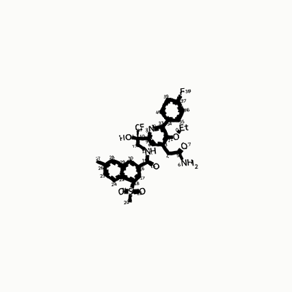 CCOc1c(CC(N)=O)cc([C@@](O)(CNC(=O)c2cc(S(C)(=O)=O)c3ccc(C)cc3c2)C(F)(F)F)nc1-c1ccc(F)cc1